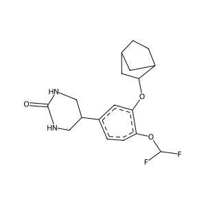 O=C1NCC(c2ccc(OC(F)F)c(OC3CC4CCC3C4)c2)CN1